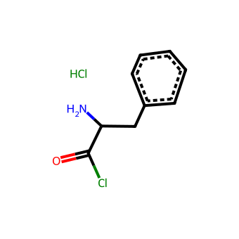 Cl.NC(Cc1ccccc1)C(=O)Cl